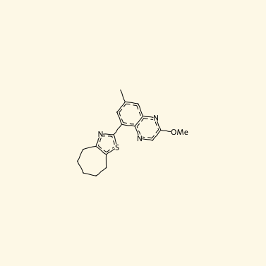 COc1cnc2c(-c3nc4c(s3)CCCCC4)cc(C)cc2n1